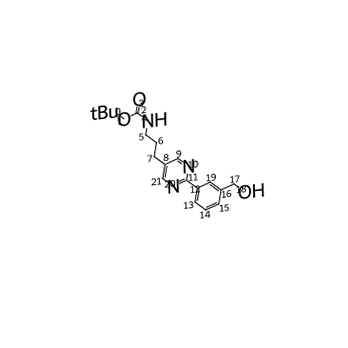 CC(C)(C)OC(=O)NCCCc1cnc(-c2cccc(CO)c2)nc1